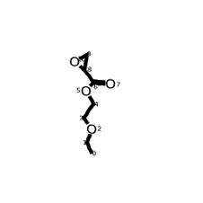 CCOCCOC(=O)C1CO1